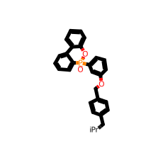 CC(C)Cc1ccc(COc2cccc(P3(=O)Oc4ccccc4-c4ccccc43)c2)cc1